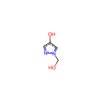 OCn1cc(O)cn1